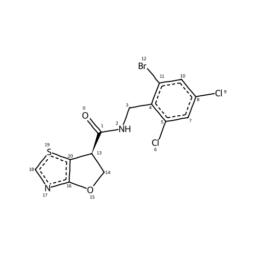 O=C(NCc1c(Cl)cc(Cl)cc1Br)[C@H]1COc2ncsc21